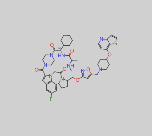 CNC(C)C(=O)N[C@H](C(=O)N1CCN(C(=O)c2cc3cc(F)ccc3n2CC(=O)N2CCCC2COc2cc(CN3CCC(Oc4ccnc5ccsc45)CC3)on2)CC1)C1CCCCC1